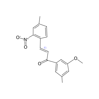 COc1cc(C)cc(C(=O)/C=C/c2ccc(C)cc2[N+](=O)[O-])c1